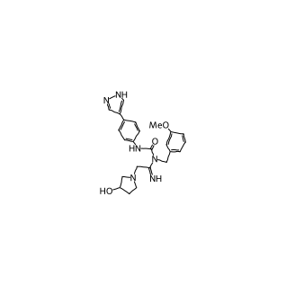 COc1cccc(CN(C(=N)CN2CCC(O)C2)C(=O)Nc2ccc(-c3cn[nH]c3)cc2)c1